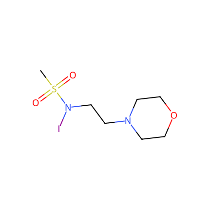 CS(=O)(=O)N(I)CCN1CCOCC1